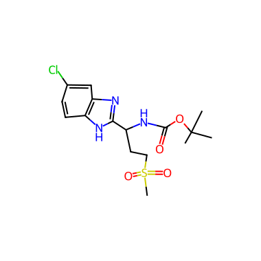 CC(C)(C)OC(=O)NC(CCS(C)(=O)=O)c1nc2cc(Cl)ccc2[nH]1